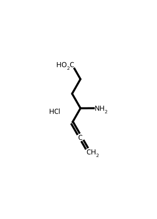 C=C=CC(N)CCC(=O)O.Cl